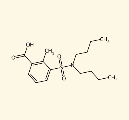 CCCCN(CCCC)S(=O)(=O)c1cccc(C(=O)O)c1C